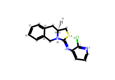 Clc1ncccc1N=C1SC[C@@H]2Cc3ccccc3CN12